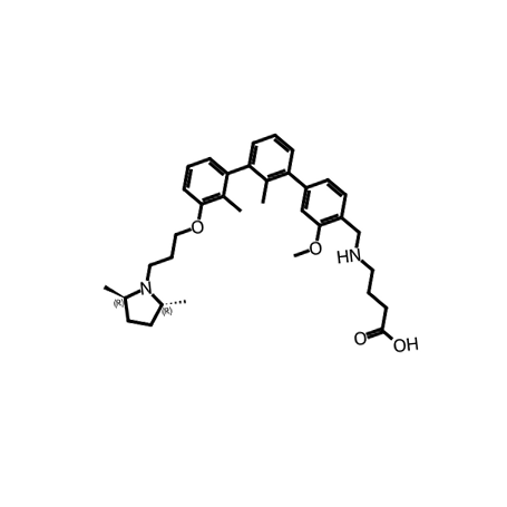 COc1cc(-c2cccc(-c3cccc(OCCCN4[C@H](C)CC[C@H]4C)c3C)c2C)ccc1CNCCCC(=O)O